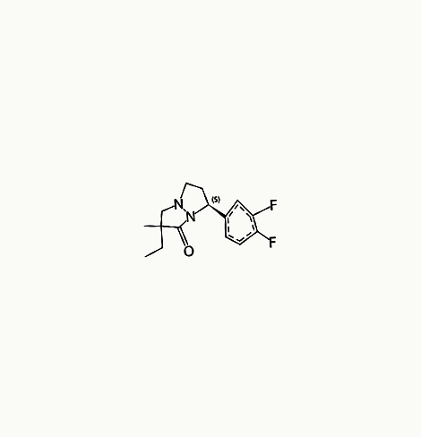 CCC1(C)CN2CC[C@@H](c3ccc(F)c(F)c3)N2C1=O